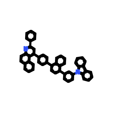 c1ccc(-c2cc(-c3ccc(-c4ccc(-c5cccc(-n6c7ccccc7c7ccccc76)c5)c5ccccc45)cc3)c3c(ccc4ccccc43)n2)cc1